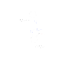 COc1ccc2nc(CN3CCCc4cccc(OC)c43)[nH]c(=O)c2c1